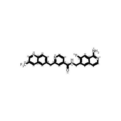 Nc1nccc2cc(CNC(=O)c3ccnc(Cc4ccc5ncc(C(F)(F)F)cc5c4)c3)c(F)cc12